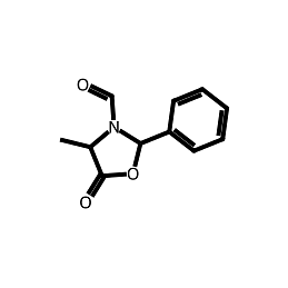 CC1C(=O)OC(c2ccccc2)N1C=O